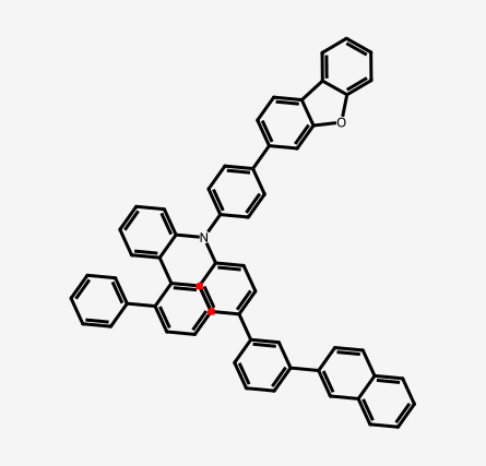 c1ccc(-c2ccccc2-c2ccccc2N(c2ccc(-c3cccc(-c4ccc5ccccc5c4)c3)cc2)c2ccc(-c3ccc4c(c3)oc3ccccc34)cc2)cc1